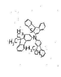 CC1(C)c2ccccc2-c2cc(N(c3ccc4c(c3)C(C)(C)c3ccccc3-4)c3cc4ccccc4c4c3sc3ccccc34)ccc21